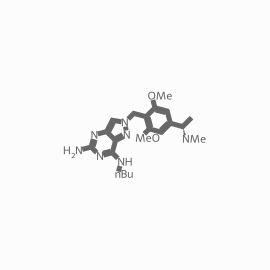 CCCCNc1nc(N)nc2cn(Cc3c(OC)cc([C@H](C)NC)cc3OC)nc12